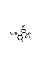 CC(=O)Nc1ccc(C)cc1-c1sc(C(C)C)cc1C(N)=O